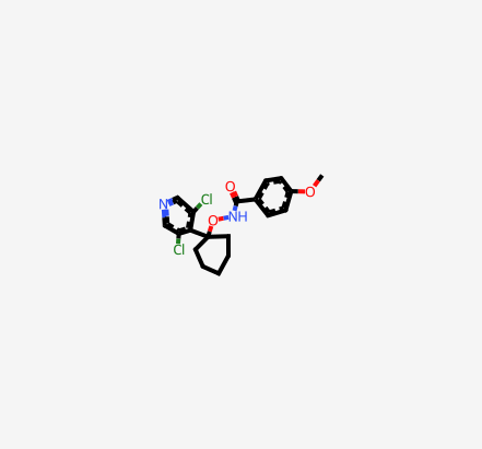 COc1ccc(C(=O)NOC2(c3c(Cl)cncc3Cl)CCCCC2)cc1